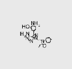 C=CC(=O)N(CCn1nc(-c2ccc(N)c(O)c2)c2c(N)ncnc21)c1ccccc1